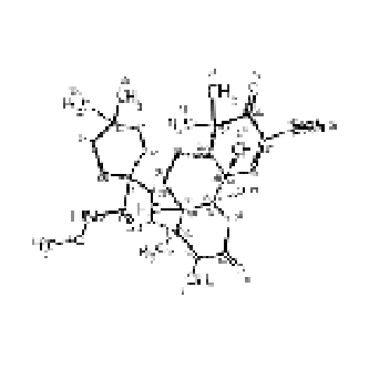 CONC(=O)C1(CC[C@]2(C)C(C)C(=O)C[C@@H]3[C@@]4(C)C=C(C#N)C(=O)C(C)(C)C4CC[C@]32C)CCC(C)(C)CC1